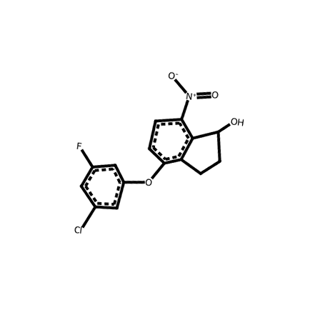 O=[N+]([O-])c1ccc(Oc2cc(F)cc(Cl)c2)c2c1C(O)CC2